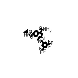 NC(=O)/C(=C/c1ccnc(-c2cc(C(F)(F)F)cc(C(F)(F)F)c2)n1)c1ccc(S(=O)(=O)NC2CC2)cc1